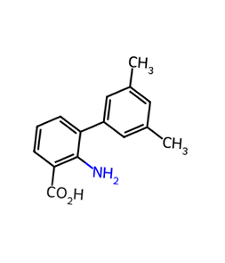 Cc1cc(C)cc(-c2cccc(C(=O)O)c2N)c1